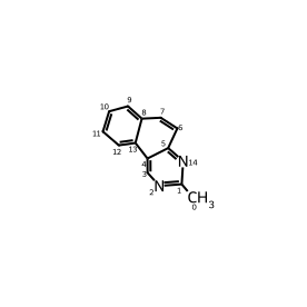 Cc1ncc2c(ccc3ccccc32)n1